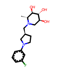 C[C@@H]1[C@@H](O)[C@H](O)[C@@H](O)CN1C[C@H]1CCN(c2cccc(F)c2)C1